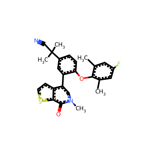 Cc1cc(F)cc(C)c1Oc1ccc(C(C)(C)C#N)cc1-c1cn(C)c(=O)c2sccc12